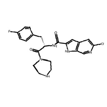 O=C(N[C@@H](Cc1ccc(F)cc1)C(=O)N1CCNCC1)c1cc2cc(Cl)ncc2[nH]1